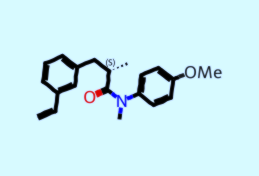 C=Cc1cccc(C[C@H](C)C(=O)N(C)c2ccc(OC)cc2)c1